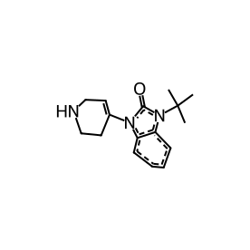 CC(C)(C)n1c(=O)n(C2=CCNCC2)c2ccccc21